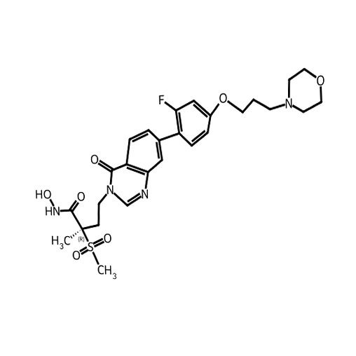 C[C@@](CCn1cnc2cc(-c3ccc(OCCCN4CCOCC4)cc3F)ccc2c1=O)(C(=O)NO)S(C)(=O)=O